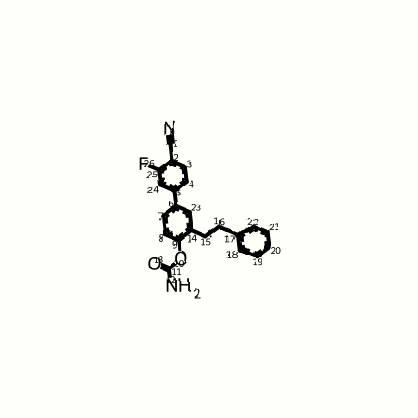 N#Cc1ccc(-c2ccc(OC(N)=O)c([CH]Cc3ccccc3)c2)cc1F